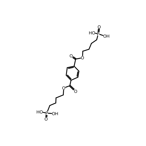 O=C(OCCCCP(=O)(O)O)c1ccc(C(=O)OCCCCP(=O)(O)O)cc1